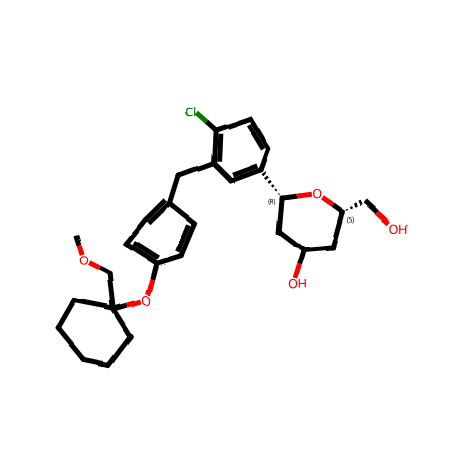 COCC1(Oc2ccc(Cc3cc([C@H]4CC(O)C[C@@H](CO)O4)ccc3Cl)cc2)CCCCC1